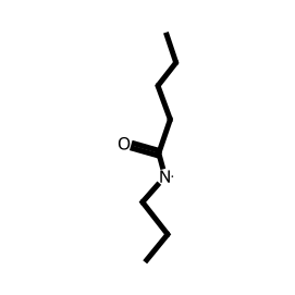 CCCCC(=O)[N]CCC